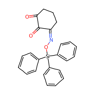 O=C1CCCC(=NO[Si](c2ccccc2)(c2ccccc2)c2ccccc2)C1=O